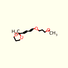 COCCCOC#CC#CC1(C)OCCCO1